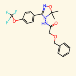 CC1(C)ON=C(c2ccc(OC(F)(F)F)cc2)N1NC(=O)COCc1ccccc1